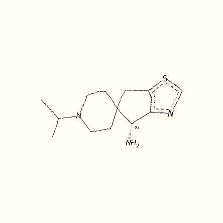 CC(C)N1CCC2(CC1)Cc1scnc1[C@@H]2N